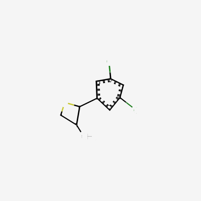 C[C]1CSC1c1cc(Cl)cc(Cl)c1